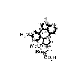 CO[C@H]1CN(c2ccnc3[nH]cc(-c4ccnc(N)n4)c23)C[C@@H]1CN(C(=O)O)C(C)(C)C